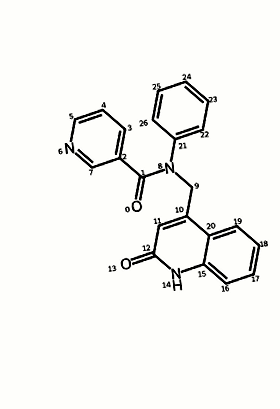 O=C(c1cccnc1)N(Cc1cc(=O)[nH]c2ccccc12)c1ccccc1